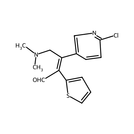 CN(C)CC(=C(C=O)c1cccs1)c1ccc(Cl)nc1